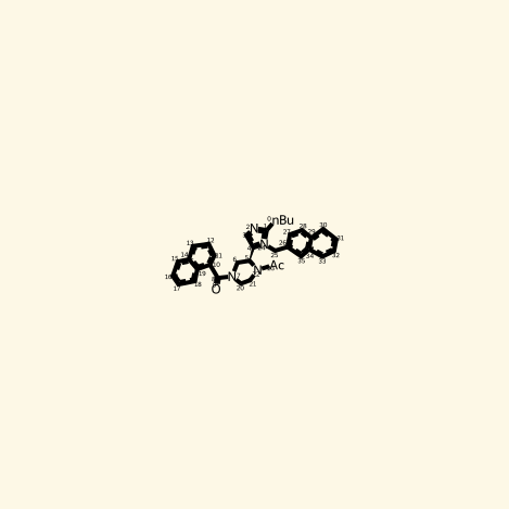 CCCCc1ncc([C@@H]2CN(C(=O)c3cccc4ccccc34)CCN2C(C)=O)n1Cc1ccc2ccccc2c1